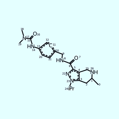 CC1Cc2c(c(C(=O)NCc3ccc(NC(=O)N(C)C)cc3)nn2C(C)C)CN1